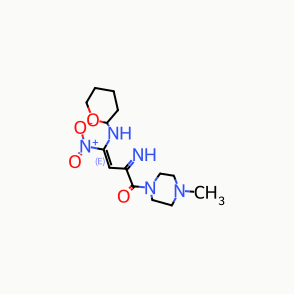 CN1CCN(C(=O)C(=N)/C=C(\NC2CCCCO2)[N+](=O)[O-])CC1